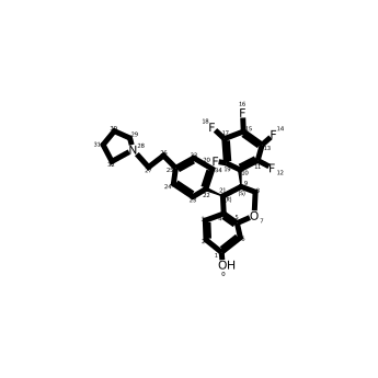 Oc1ccc2c(c1)OC[C@H](c1c(F)c(F)c(F)c(F)c1F)[C@@H]2c1ccc(CCN2CCCC2)cc1